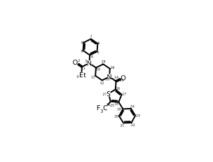 CCC(=O)N(c1ccccc1)C1CCN(C(=O)c2cc(-c3ccccc3)c(C(F)(F)F)s2)CC1